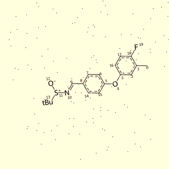 Cc1cc(Oc2ccc(/C=N/[S+]([O-])C(C)(C)C)cc2)ccc1F